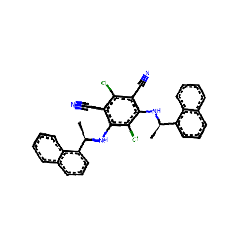 C[C@@H](Nc1c(Cl)c(N[C@H](C)c2cccc3ccccc23)c(C#N)c(Cl)c1C#N)c1cccc2ccccc12